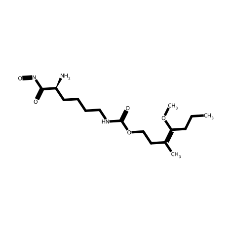 CCC/C(OC)=C(\C)CCOC(=O)NCCCC[C@H](N)C(=O)N=O